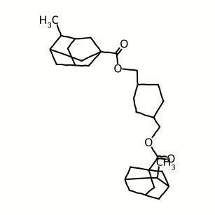 CC1C2CC3CC1CC(C(=O)OCC1CCC(COC(=O)C45CC6CC(C4)C(C)C(C6)C5)CC1)(C3)C2